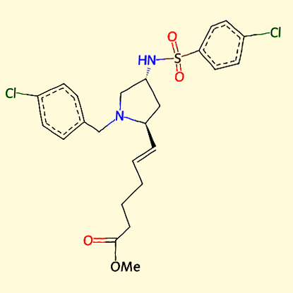 COC(=O)CCCC=C[C@@H]1C[C@@H](NS(=O)(=O)c2ccc(Cl)cc2)CN1Cc1ccc(Cl)cc1